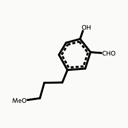 COCCCc1ccc(O)c(C=O)c1